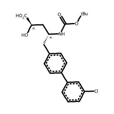 CC(C)(C)OC(=O)N[C@H](Cc1ccc(-c2cccc(Cl)c2)cc1)C[C@@H](O)C(=O)O